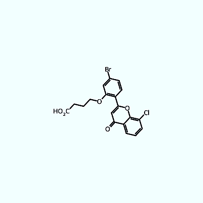 O=C(O)CCCOc1cc(Br)ccc1-c1cc(=O)c2cccc(Cl)c2o1